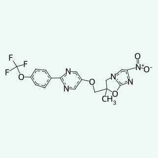 CC1(COc2cnc(-c3ccc(OC(F)(F)F)cc3)nc2)Cn2cc([N+](=O)[O-])nc2O1